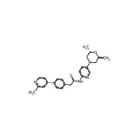 C=C1CN(c2ccc(NC(=O)Cc3ccc(-c4ccnc(C)c4)cc3)nc2)C[C@H](C)O1